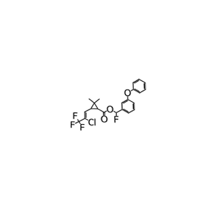 CC1(C)C(C=C(Cl)C(F)(F)F)C1C(=O)OC(F)c1cccc(Oc2ccccc2)c1